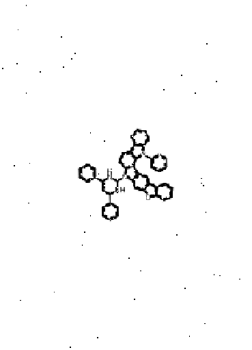 C1=C(c2ccccc2)NC(n2c3cc4oc5ccccc5c4cc3c3c4c(ccc32)c2ccccc2n4-c2ccccc2)NC1c1ccccc1